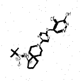 CC(C)(C)[S@@+]([O-])N[C@@H]1CCCC12CCN(c1cnc(Sc3cnnc(O)c3Cl)cn1)CC2